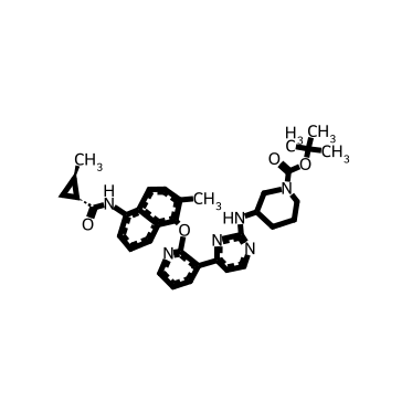 Cc1ccc2c(NC(=O)[C@@H]3C[C@H]3C)cccc2c1Oc1ncccc1-c1ccnc(NC2CCCN(C(=O)OC(C)(C)C)C2)n1